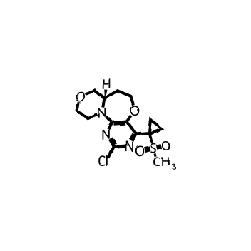 CS(=O)(=O)C1(c2nc(Cl)nc3c2OCC[C@H]2COCCN32)CC1